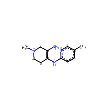 Cc1ccc(NC2=C(N)CN(C)CC2)nc1